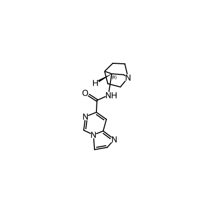 O=C(N[C@H]1CN2CCC1CC2)c1cc2nccn2cn1